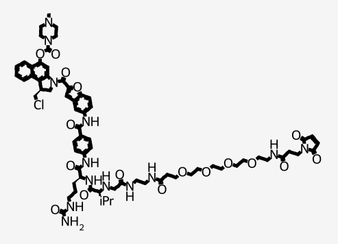 CC(C)[C@H](NCC(=O)NCCNC(=O)CCOCCOCCOCCOCCNC(=O)CCN1C(=O)C=CC1=O)C(=O)N[C@@H](CCCNC(N)=O)C(=O)Nc1ccc(C(=O)Nc2ccc3oc(C(=O)N4C[C@@H](CCl)c5c4cc(OC(=O)N4CCN(C)CC4)c4ccccc54)cc3c2)cc1